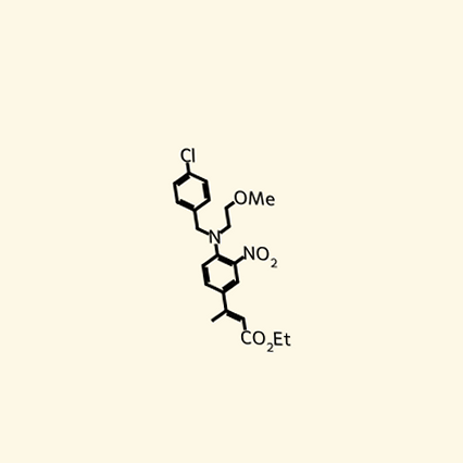 CCOC(=O)C=C(C)c1ccc(N(CCOC)Cc2ccc(Cl)cc2)c([N+](=O)[O-])c1